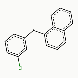 Clc1cccc([CH]c2cccc3ccccc23)c1